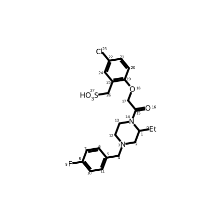 CCC1CN(Cc2ccc(F)cc2)CCN1C(=O)COc1ccc(Cl)cc1CS(=O)(=O)O